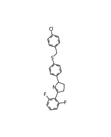 Fc1cccc(F)c1C1=NC(c2ccc(SCc3ccc(Cl)cc3)cc2)CC1